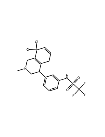 CN1CC2=C(CC=CC2(Cl)Cl)C(c2cccc(NS(=O)(=O)C(F)(F)F)c2)C1